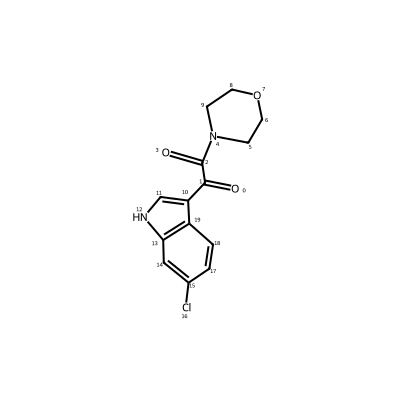 O=C(C(=O)N1CCOCC1)c1c[nH]c2cc(Cl)ccc12